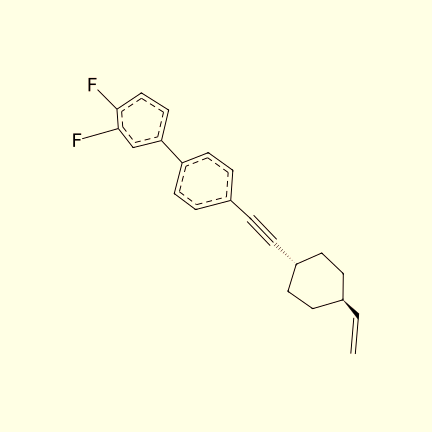 C=C[C@H]1CC[C@H](C#Cc2ccc(-c3ccc(F)c(F)c3)cc2)CC1